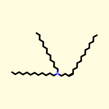 CCCCCCCCCCCC/C=C\CCN(CCCCCCCCCCCC)CCCCCCCCCCCC